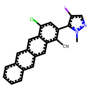 Cn1ncc(I)c1-c1cc(Cl)c2cc3cc4ccccc4cc3cc2c1C#N